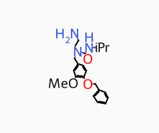 COc1cc(CN(CCN)C(=O)NC(C)C)ccc1OCc1ccccc1